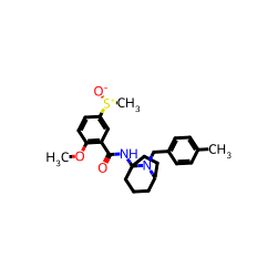 COc1ccc([S+](C)[O-])cc1C(=O)NC12CCCC(CC1)N2Cc1ccc(C)cc1